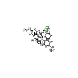 C[SiH2][Zr]([c]1ccccc1)([CH]1C(C)=Cc2cc(CC(C)C)ccc21)[CH]1C(C)=Cc2cc(CC(C)C)ccc21.[Cl-].[Cl-]